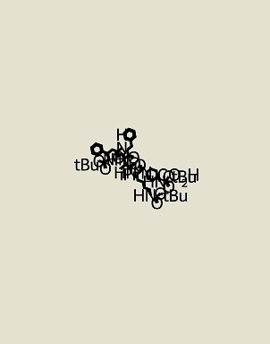 CC(C)CC(NC(=O)C(Cc1ccccc1)NC(=O)CC(NC(=O)OC(C)(C)C)c1ccccc1)C(=O)NC(CCCCNC(=O)OC(C)(C)C)C(=O)N1CCC(NC(=O)OC(C)(C)C)(C(=O)O)CC1